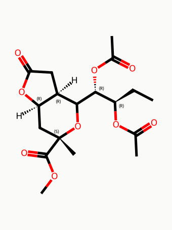 CC[C@@H](OC(C)=O)[C@@H](OC(C)=O)C1O[C@](C)(C(=O)OC)C[C@H]2OC(=O)C[C@@H]12